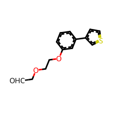 O=CCOCCOc1cccc(-c2ccsc2)c1